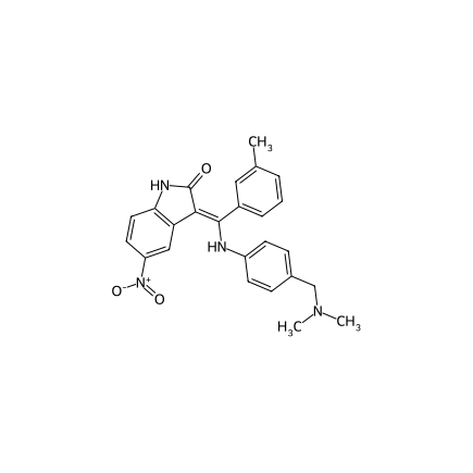 Cc1cccc(C(Nc2ccc(CN(C)C)cc2)=C2C(=O)Nc3ccc([N+](=O)[O-])cc32)c1